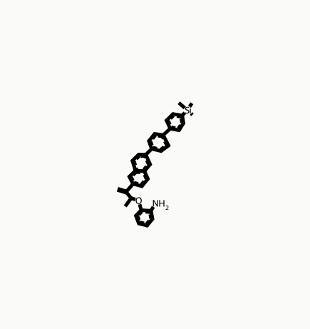 C=C(c1ccc2cc(-c3ccc(-c4ccc([Si](C)(C)C)cc4)cc3)ccc2c1)C(C)Oc1ccccc1N